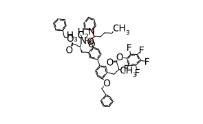 CCCC[C@H](N)C(=O)N(C)[C@@H](Cc1cc(-c2ccc(OCc3ccccc3)c(C[C@H](C)C(=O)Oc3c(F)c(F)c(F)c(F)c3F)c2)ccc1OCc1ccccc1)C(=O)OCc1ccccc1